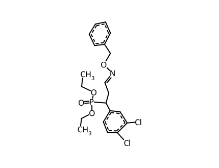 CCOP(=O)(OCC)C(CC=NOCc1ccccc1)c1ccc(Cl)c(Cl)c1